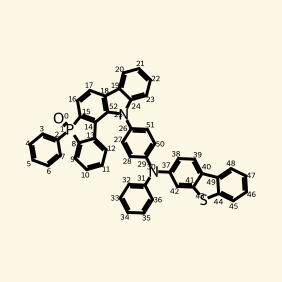 O=P1(c2ccccc2)c2ccccc2-c2c1ccc1c3ccccc3n(-c3ccc(N(c4ccccc4)c4ccc5c(c4)sc4ccccc45)cc3)c21